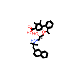 Cc1c(C(=O)O)ccc(-c2ccccc2C(C)OC[C@@H](O)CNC(C)(C)Cc2ccc3ccccc3c2)c1C